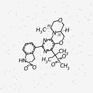 C[C@@H]1COC[C@H]2COc3c(nc(-c4cccc5c4CS(=O)(=O)N5)nc3C(C)(C)S(C)(=O)=O)N21